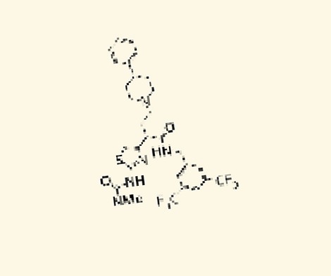 CNC(=O)Nc1nc(C(CCN2CCC(c3ccccc3)CC2)C(=O)NCc2cc(C(F)(F)F)cc(C(F)(F)F)c2)cs1